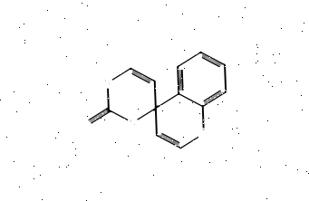 S=C1NC=CC2(C=COc3ccccc32)N1